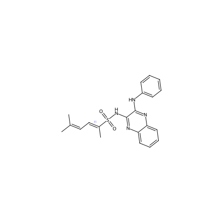 CC(C)=C/C=C(\C)S(=O)(=O)Nc1nc2ccccc2nc1Nc1ccccc1